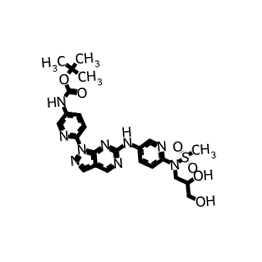 CC(C)(C)OC(=O)Nc1ccc(-n2ncc3cnc(Nc4ccc(N(CC(O)CO)S(C)(=O)=O)nc4)nc32)nc1